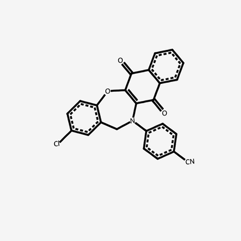 N#Cc1ccc(N2Cc3cc(Cl)ccc3OC3=C2C(=O)c2ccccc2C3=O)cc1